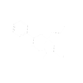 CCO[Si](OCC)(OCC)OC(OC)c1ccccc1